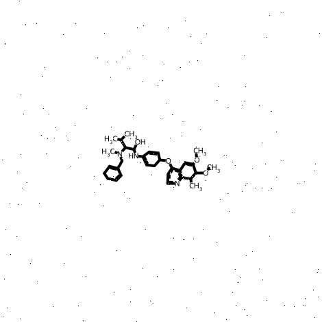 COC1=Cc2c(OC3C=CC(NC(O)C(C(C)C)N(C)CC4=CCCC=C4)=CC3)ccnc2C(C)C1OC